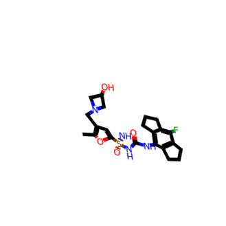 Cc1oc(S(=N)(=O)NC(=O)Nc2c3c(c(F)c4c2CCC4)CCC3)cc1CN1CC(O)C1